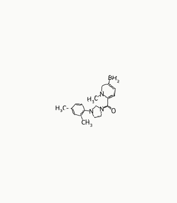 BC1=CC=C(C(=O)N2CCN(c3ccc(C)cc3C)C2)N(C)C1